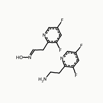 NCCc1ncc(F)cc1F.ON=CCc1ncc(F)cc1F